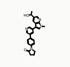 CC(O)c1cnc2c(c1)c(-c1cncc(-c3ccc(N4CCCC4=O)cc3)c1)cn2C